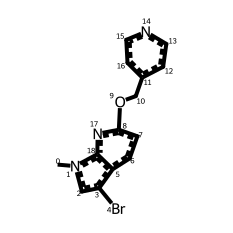 Cn1cc(Br)c2ccc(OCc3ccncc3)nc21